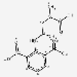 CC(CC(C)C(=O)O)Nc1c([N+](=O)[O-])cccc1[N+](=O)[O-]